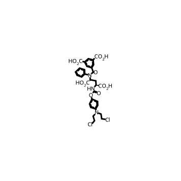 O=C(N[C@@H](CC(C(=O)O)N(C(=O)c1cc(C(=O)O)cc(C(=O)O)c1)c1ccccc1)C(=O)O)Oc1ccc(N(CCCl)CCCl)cc1